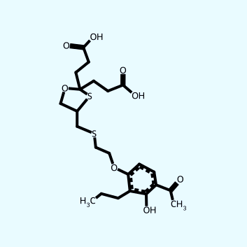 CCCc1c(OCCSCC2COC(CCC(=O)O)(CCC(=O)O)S2)ccc(C(C)=O)c1O